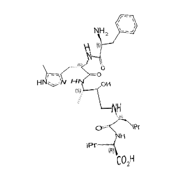 Cc1[nH]cnc1C[C@H](NC(=O)[C@@H](N)Cc1ccccc1)C(=O)N[C@@H](C)C(O)CN[C@@H](CC(C)C)C(=O)N[C@@H](C(=O)O)C(C)C